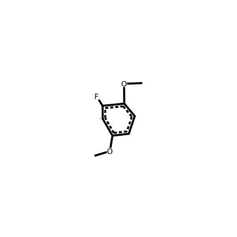 COc1[c]c(F)c(OC)cc1